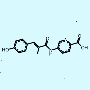 C/C(=C\c1ccc(O)cc1)C(=O)Nc1ccc(C(=O)O)nc1